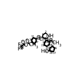 C1CCNCC1.CC(=O)OC(=O)C(F)(F)F.COc1ccccc1.COc1ccccc1.Oc1ccccc1